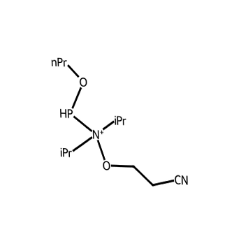 [CH2][CH]COP[N+](OCCC#N)(C(C)C)C(C)C